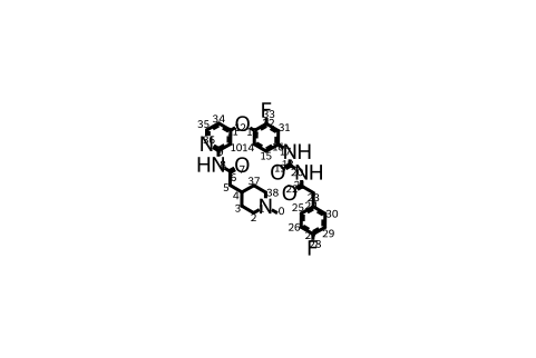 CN1CCC(CC(=O)Nc2cc(Oc3ccc(NC(=O)NC(=O)Cc4ccc(F)cc4)cc3F)ccn2)CC1